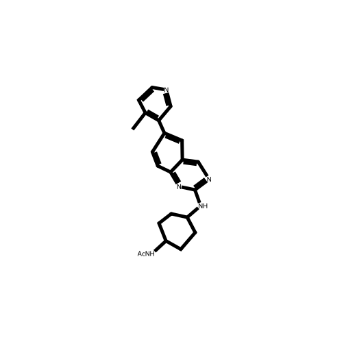 CC(=O)NC1CCC(Nc2ncc3cc(-c4cnccc4C)ccc3n2)CC1